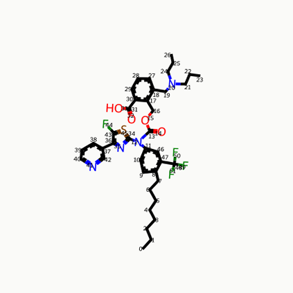 CCCCCCCCc1ccc(N(C(=O)OCc2c(CN(CCC)CCC)cccc2C(=O)O)c2nc(-c3cccnc3)c(F)s2)cc1C(F)(F)F